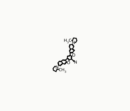 CC1CCCCN1c1ccc2cc3c(cc2c1)oc1c(C#N)c2oc4cc5cc(N6CCCCC6C)ccc5cc4c2cc13